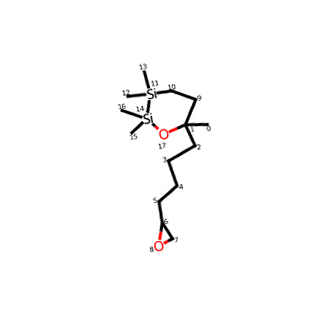 CC1(CCCCC2CO2)CC[Si](C)(C)[Si](C)(C)O1